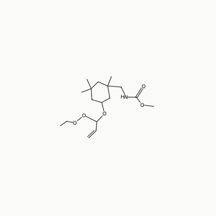 C=CC(OOCC)OC1CC(C)(C)CC(C)(CNC(=O)OC)C1